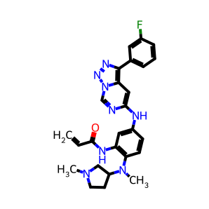 C=CC(=O)Nc1cc(Nc2cc3c(-c4cccc(F)c4)nnn3cn2)ccc1N(C)C1CCN(C)C1